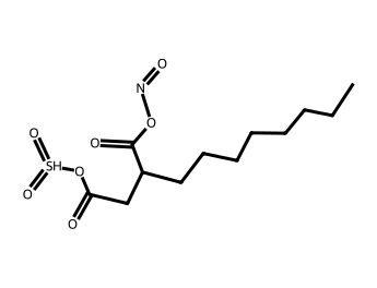 CCCCCCCCC(CC(=O)O[SH](=O)=O)C(=O)ON=O